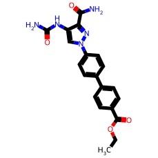 CCOC(=O)c1ccc(-c2ccc(-n3cc(NC(N)=O)c(C(N)=O)n3)cc2)cc1